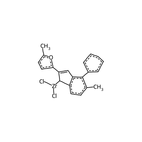 Cc1ccc(C2=Cc3c(ccc(C)c3-c3ccccc3)[CH]2[Zr]([Cl])[Cl])o1